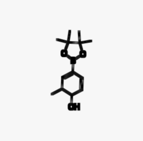 CC1C=C(B2OC(C)(C)C(C)(C)O2)C=CC1O